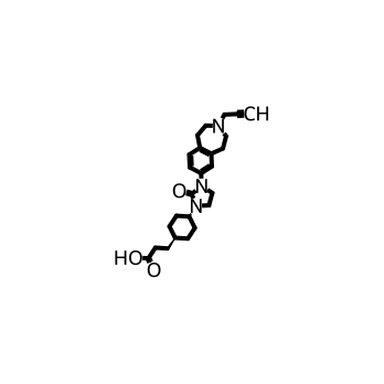 C#CCN1CCc2ccc(N3CCN([C@H]4CC[C@H](CCC(=O)O)CC4)C3=O)cc2CC1